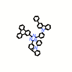 C1=CC2C3c4ccccc4N(c4ccccc4)[C@]23C=C1c1nc(-c2cccc(-n3c4ccccc4c4cc(-c5ccccc5)ccc43)c2)nc(-c2ccc3c4ccccc4c4ccccc4c3c2)n1